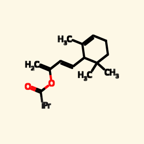 C=C(C=CC1C(C)=CCCC1(C)C)OC(=O)C(C)C